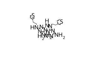 Nc1nc(NCCc2ccsc2)nc(NN(CCc2ccsc2)c2nc(N)nc(N)n2)n1